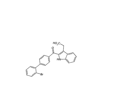 O=C(O)Cc1c(C(=O)c2ccc(-c3ccccc3Br)cc2)[nH]c2ccccc12